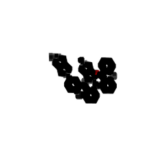 CN1CC2CN(N(c3cccc4oc5ccccc5c(=O)c34)c3cccc4oc5ccc(N6CC7CNCC7C6)cc5c(=O)c34)CC2C1